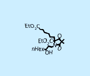 CCCCCCC(O)CCN1C(=O)C(C)(C)C(=O)C1(CCCCCCC(=O)OCC)C(=O)OCC